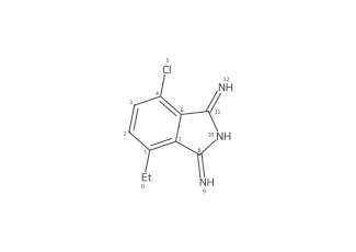 CCc1ccc(Cl)c2c1C(=N)NC2=N